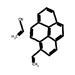 C=CC#N.C=Cc1ccc2ccc3cccc4ccc1c2c34